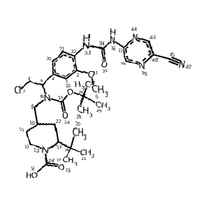 COc1cc(C(CCl)N(CC2CCN(C(=O)O)C(C(C)(C)C)C2)C(=O)OC(C)(C)C)ccc1NC(=O)Nc1cnc(C#N)cn1